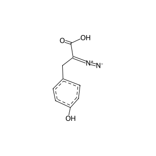 [N-]=[N+]=C(Cc1ccc(O)cc1)C(=O)O